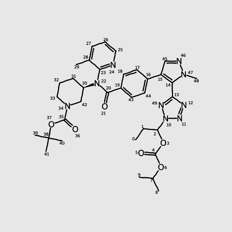 CCC(OC(=O)OC(C)C)n1nnc(-c2c(-c3ccc(C(=O)N(c4ncccc4C)[C@@H]4CCCN(C(=O)OC(C)(C)C)C4)cc3)cnn2C)n1